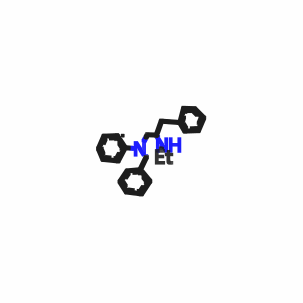 CCNC(Cc1ccccc1)CN(Cc1ccccc1)c1[c]cccc1